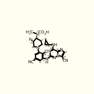 CN(C(=O)O)[C@H]1CCN(c2cc(C#N)cc(Nc3nc(NC4CC4)c4ncc(C#N)n4n3)c2Cl)C[C@H]1F